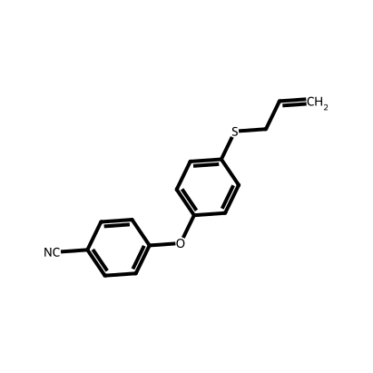 C=CCSc1ccc(Oc2ccc(C#N)cc2)cc1